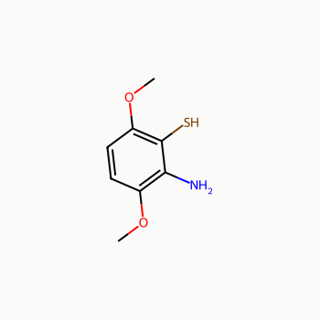 COc1ccc(OC)c(S)c1N